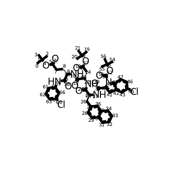 CC(C)(C)OC(=O)CC[C@H](NC(=O)[C@H](CC(=O)OC(C)(C)C)NC(=O)[C@H](Cc1ccc2ccccc2c1)NC(=O)c1cc2cc(Cl)ccc2n1C(=O)OC(C)(C)C)C(=O)Nc1cccc(Cl)c1